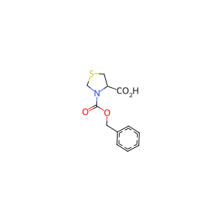 O=C(O)C1CSCN1C(=O)OCc1ccccc1